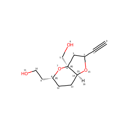 C#CC1C[C@]2(CO)O[C@@H](CCO)CC[C@@H]2O1